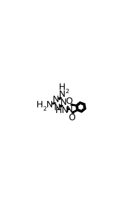 Nc1nc(N)nc(NN2C(=O)c3ccccc3C2=O)n1